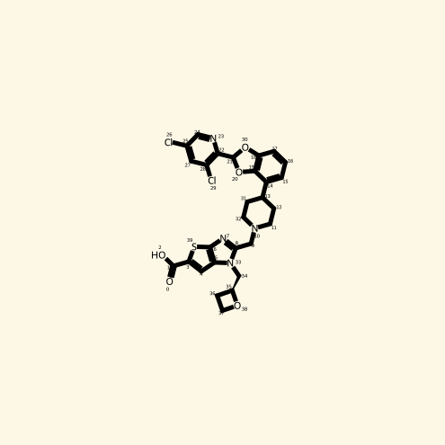 O=C(O)c1cc2c(nc(CN3CCC(c4cccc5c4OC(c4ncc(Cl)cc4Cl)O5)CC3)n2C[C@@H]2CCO2)s1